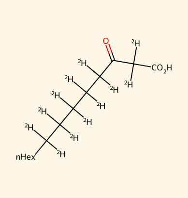 [2H]C([2H])(C(=O)O)C(=O)C([2H])([2H])C([2H])([2H])C([2H])([2H])C([2H])([2H])C([2H])([2H])CCCCCC